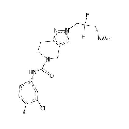 CNCC(F)(F)Cn1cc2c(n1)CCN(C(=O)Nc1ccc(F)c(Cl)c1)C2